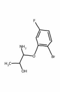 CC(O)C(N)Oc1cc(F)ccc1Br